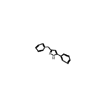 c1ccc(Cc2cc(-c3ccccc3)[nH]n2)cc1